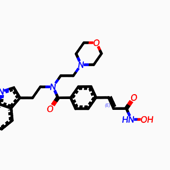 O=C(/C=C/c1ccc(C(=O)N(CCc2c[nH]c3ccccc23)CCN2CCOCC2)cc1)NO